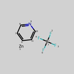 F[B-](F)(F)F.[Zn].c1ccncc1